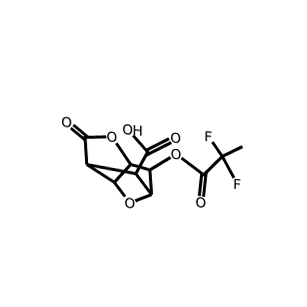 CC(F)(F)C(=O)OC1C2OC(=O)C3C2OC1C3C(=O)O